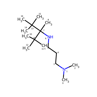 CN(C)CCCNC(C)(C(C)(C)C)C(C)(C)C